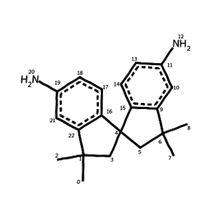 CC1(C)CC2(CC(C)(C)c3cc(N)ccc32)c2ccc(N)cc21